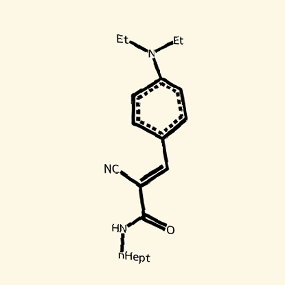 CCCCCCCNC(=O)/C(C#N)=C/c1ccc(N(CC)CC)cc1